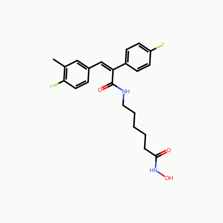 Cc1cc(/C=C(\C(=O)NCCCCCC(=O)NO)c2ccc(F)cc2)ccc1F